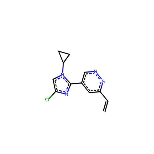 C=Cc1cc(-c2nc(Cl)cn2C2CC2)cnn1